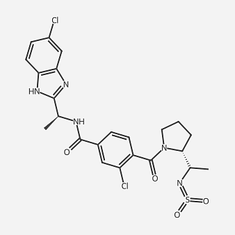 CC(N=S(=O)=O)[C@H]1CCCN1C(=O)c1ccc(C(=O)N[C@@H](C)c2nc3cc(Cl)ccc3[nH]2)cc1Cl